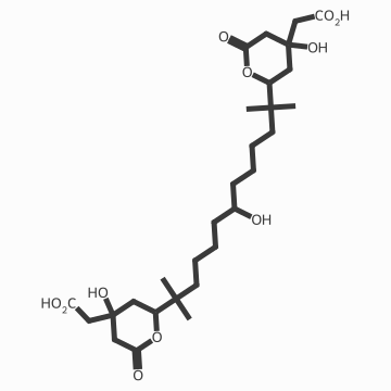 CC(C)(CCCCC(O)CCCCC(C)(C)C1CC(O)(CC(=O)O)CC(=O)O1)C1CC(O)(CC(=O)O)CC(=O)O1